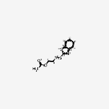 CC(=O)OCCSSc1nc2ccccc2s1